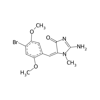 COc1cc(/C=C2\C(=O)N=C(N)N2C)c(OC)cc1Br